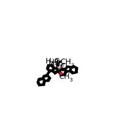 CCC1=Cc2c(-c3ccc4ccccc4c3)cccc2[CH]1[Zr]([Cl])([Cl])([c]1cccc2c1Cc1ccccc1-2)[SiH](C)C